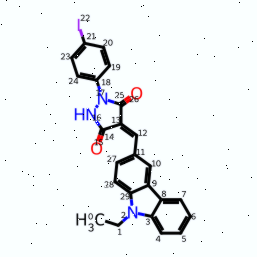 CCn1c2ccccc2c2cc(/C=C3\C(=O)NN(c4ccc(I)cc4)C3=O)ccc21